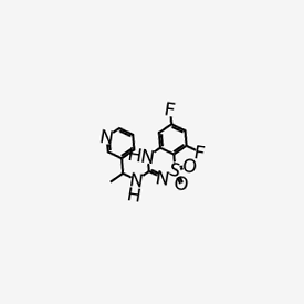 CC(NC1=NS(=O)(=O)c2c(F)cc(F)cc2N1)c1cccnc1